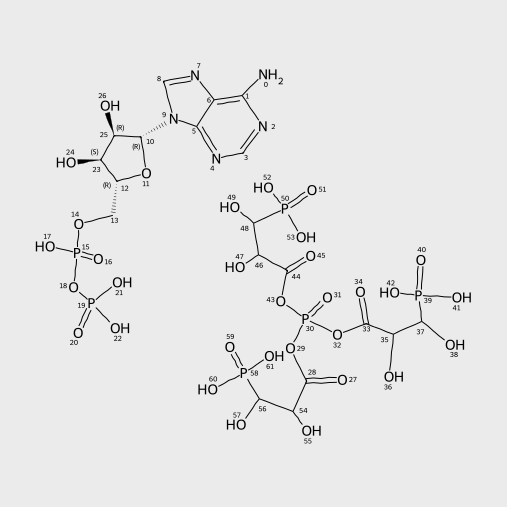 Nc1ncnc2c1ncn2[C@@H]1O[C@H](COP(=O)(O)OP(=O)(O)O)[C@@H](O)[C@H]1O.O=C(OP(=O)(OC(=O)C(O)C(O)P(=O)(O)O)OC(=O)C(O)C(O)P(=O)(O)O)C(O)C(O)P(=O)(O)O